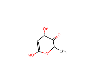 CC1OC(O)=CC(O)C1=O